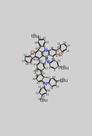 CC(C)(C)c1ccc(N2B3c4cc5oc6ccccc6c5cc4-n4c5ccc(C(C)(C)C)cc5c5c6oc7ccccc7c6c(c3c54)-c3cc4sc5ccc(N(c6ccc(C(C)(C)C)cc6)c6ccc(C(C)(C)C)cc6)cc5c4cc32)cc1